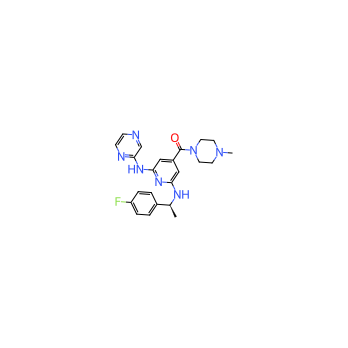 C[C@H](Nc1cc(C(=O)N2CCN(C)CC2)cc(Nc2cnccn2)n1)c1ccc(F)cc1